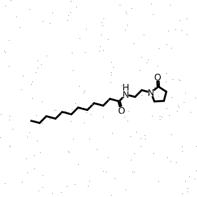 CCCCCCCCCCCC(=O)NCCN1CCCC1=O